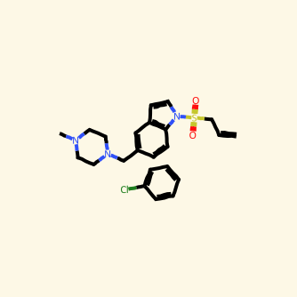 C=CCS(=O)(=O)n1ccc2cc(CN3CCN(C)CC3)ccc21.Clc1ccccc1